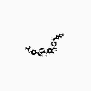 Cc1cc(Nc2nccn3c(-c4ccc(OC(F)F)cc4)cnc23)ccc1C(=O)N1CCN(C(=O)C2CC3(CNC3)C2)CC1